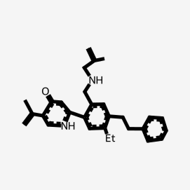 C=C(C)CNCc1cc(CCc2ccccc2)c(CC)cc1-c1cc(=O)c(C(=C)C)c[nH]1